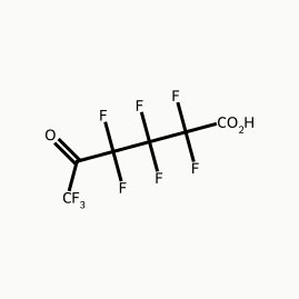 O=C(O)C(F)(F)C(F)(F)C(F)(F)C(=O)C(F)(F)F